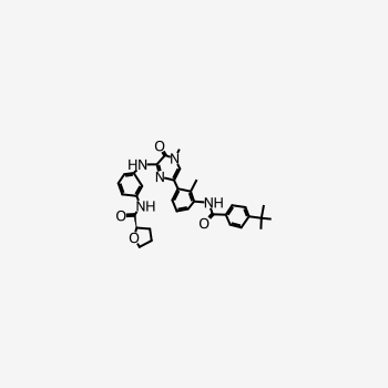 Cc1c(NC(=O)c2ccc(C(C)(C)C)cc2)cccc1-c1cn(C)c(=O)c(Nc2cccc(NC(=O)[C@H]3CCCO3)c2)n1